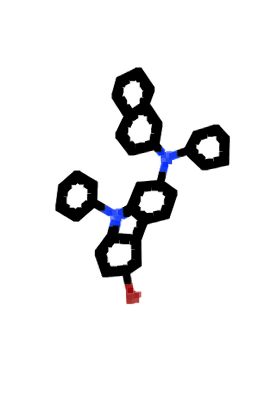 Brc1ccc2c(c1)c1ccc(N(c3ccccc3)c3ccc4ccccc4c3)cc1n2-c1ccccc1